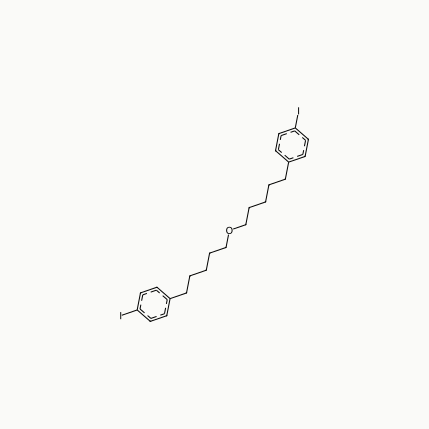 Ic1ccc(CCCCCOCCCCCc2ccc(I)cc2)cc1